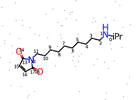 CC(C)NCCCCCCCCCCN1C(=O)C=CC1=O